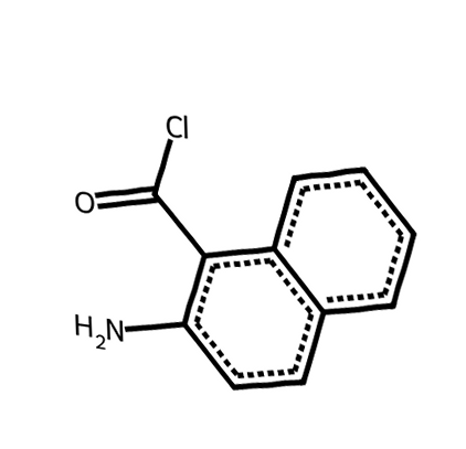 Nc1ccc2ccccc2c1C(=O)Cl